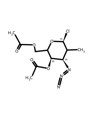 CC(=O)OCC1O[C@@H](Cl)C(C)[C@@H](N=[N+]=[N-])[C@H]1OC(C)=O